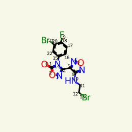 O=c1onc(-c2nonc2NCCBr)n1-c1ccc(F)c(Br)c1